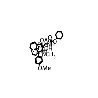 CCC12C=CCN3CC[C@@]4(c5ccc(OC)cc5N(C)[C@H]4C(O)(CNC(=O)OC4CCCCC4)[C@@H]1OC(C)=O)[C@@H]32